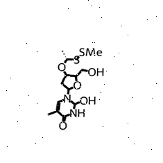 CSS[C@@H](C)OC1CC(N2C=C(C)C(=O)NC2O)OC1CO